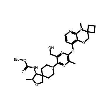 Cc1nc(N2CCC3(CC2)CO[C@@H](C)[C@H]3NC(=O)OC(C)(C)C)c(CO)nc1Sc1ccnc2c1OCC1(CCC1)N2C